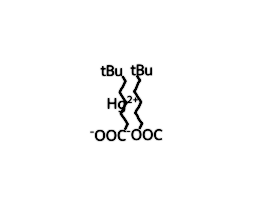 CC(C)(C)CCCCCC(=O)[O-].CC(C)(C)CCCCCC(=O)[O-].[Hg+2]